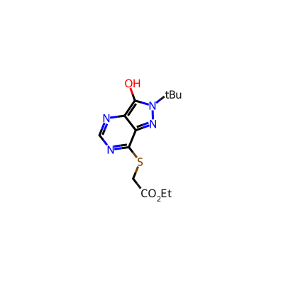 CCOC(=O)CSc1ncnc2c(O)n(C(C)(C)C)nc12